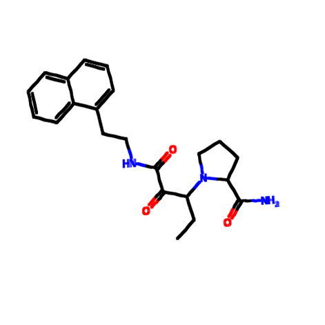 CCC(C(=O)C(=O)NCCc1cccc2ccccc12)N1CCCC1C(N)=O